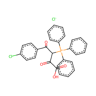 O=C(O)C(=O)C(C(=O)c1ccc(Cl)cc1)[P+](c1ccccc1)(c1ccccc1)c1ccccc1.[Cl-]